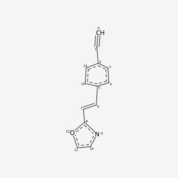 C#Cc1ccc(C=Cc2ncco2)cc1